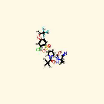 C[C@H](Oc1ccc(S(=O)(=O)[C@@H]2C[C@H](C(=O)NC3(C#N)CC3)N(C(=O)C(C)(C)C)C2)c(Cl)c1)C(F)(F)F